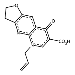 C=CCn1cc(C(=O)O)c(=O)c2cc3c(nc21)CCO3